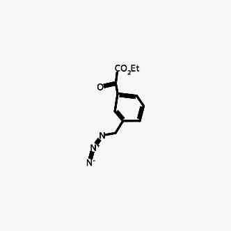 CCOC(=O)C(=O)c1cccc(CN=[N+]=[N-])c1